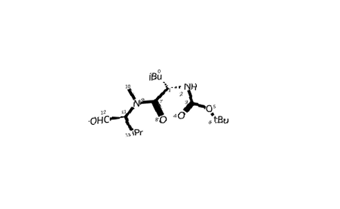 CC[C@@H](C)[C@H](NC(=O)OC(C)(C)C)C(=O)N(C)[C@H]([C]=O)C(C)C